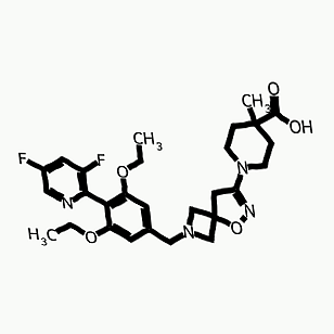 CCOc1cc(CN2CC3(CC(N4CCC(C)(C(=O)O)CC4)=NO3)C2)cc(OCC)c1-c1ncc(F)cc1F